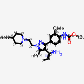 C/C=C(/N)c1c(-c2ccc(NC(=O)OC(C)(C)C)c(OC)c2)nn(CCN2CCC(NC)CC2)c1CCC